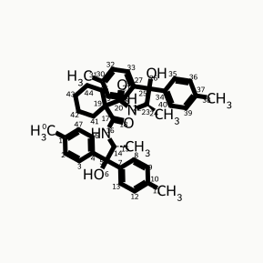 Cc1ccc(C(O)(c2ccc(C)cc2)[C@@H](C)NC(=O)C2(C(=O)N[C@H](C)C(O)(c3ccc(C)cc3)c3ccc(C)cc3)CCCCC2)cc1